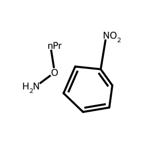 CCCON.O=[N+]([O-])c1ccccc1